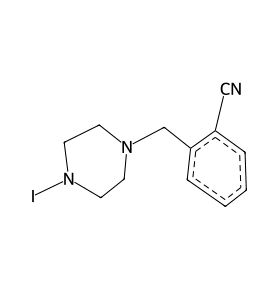 N#Cc1ccccc1CN1CCN(I)CC1